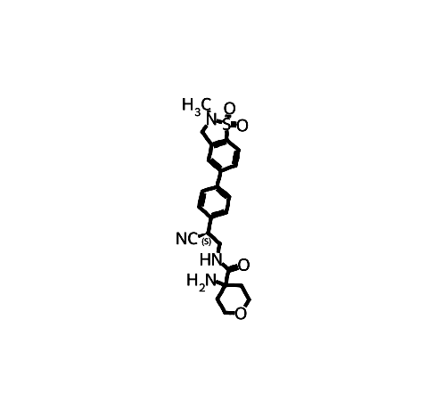 CN1Cc2cc(-c3ccc([C@H](C#N)CNC(=O)C4(N)CCOCC4)cc3)ccc2S1(=O)=O